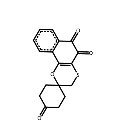 O=C1CCC2(CC1)CSC1=C(O2)c2ccccc2C(=O)C1=O